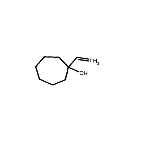 C=CC1(O)CCCCCC1